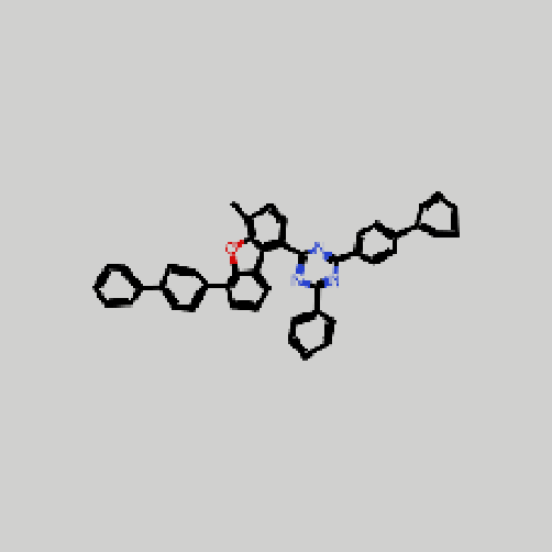 Cc1ccc(-c2nc(-c3ccccc3)nc(-c3ccc(-c4ccccc4)cc3)n2)c2c1oc1c(-c3ccc(-c4ccccc4)cc3)cccc12